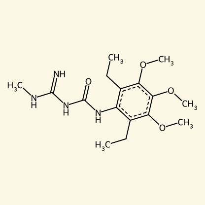 CCc1c(NC(=O)NC(=N)NC)c(CC)c(OC)c(OC)c1OC